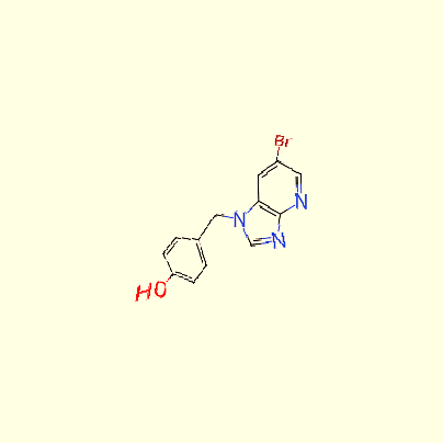 Oc1ccc(Cn2cnc3ncc(Br)cc32)cc1